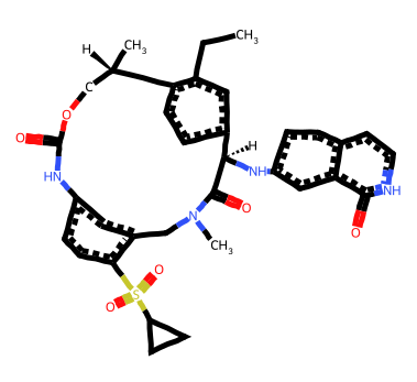 CCc1cc2ccc1[C@@H](C)COC(=O)Nc1ccc(S(=O)(=O)C3CC3)c(c1)CN(C)C(=O)[C@@H]2Nc1ccc2cc[nH]c(=O)c2c1